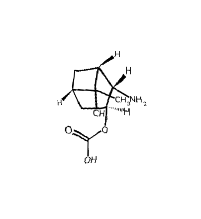 CC1(C)[C@@H]2C[C@H](OC(=O)O)[C@@H](N)[C@H]1C2